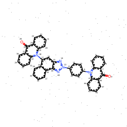 O=c1c2ccccc2n(-c2ccc(-n3nc4cc(-n5c6ccccc6c(=O)c6ccccc65)c5ccccc5c4n3)cc2)c2ccccc12